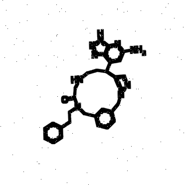 Nc1cc(C2CCNCC(=O)N(CCc3ccccc3)Cc3cccc(c3)Cn3cc2cn3)c2nn[nH]c2n1